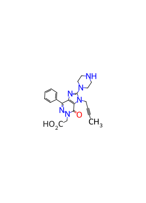 CC#CCn1c(N2CCNCC2)nc2c(-c3ccccc3)nn(CC(=O)O)c(=O)c21